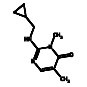 Cc1cnc(NCC2CC2)n(C)c1=O